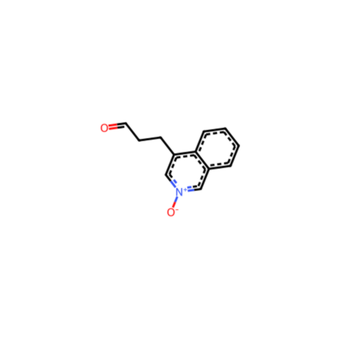 O=CCCc1c[n+]([O-])cc2ccccc12